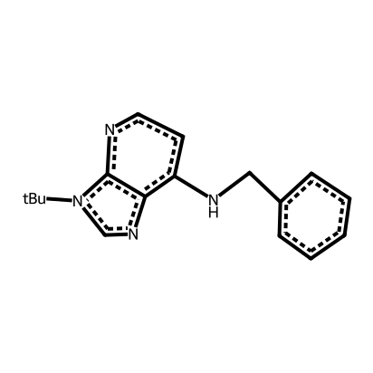 CC(C)(C)n1cnc2c(NCc3ccccc3)ccnc21